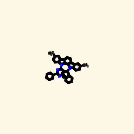 Cc1ccc2c(c1)c1ccc3c4cc(C)ccc4n(-c4cc(-c5ccccc5)nc(-c5ccccc5)n4)c3c1n2-c1ccccc1